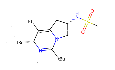 CCC1=C2C[C@H](NS(C)(=O)=O)CN2C(C(C)(C)C)=N[C@@H]1C(C)(C)C